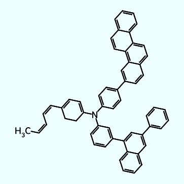 C/C=C\C=C/C1=CC=C(N(c2ccc(-c3ccc4ccc5c6ccccc6ccc5c4c3)cc2)c2cccc(-c3cc(-c4ccccc4)cc4ccccc34)c2)CC1